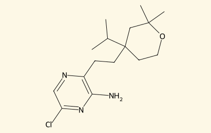 CC(C)C1(CCc2ncc(Cl)nc2N)CCOC(C)(C)C1